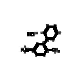 Cc1ccc(N)cc1-c1ccccc1.Cl